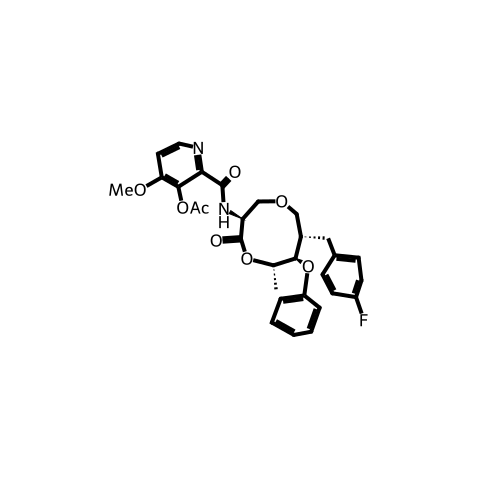 COc1ccnc(C(=O)N[C@H]2COC[C@H](Cc3ccc(F)cc3)[C@@H](Oc3ccccc3)[C@H](C)OC2=O)c1OC(C)=O